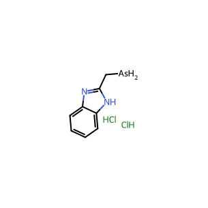 Cl.Cl.[AsH2]Cc1nc2ccccc2[nH]1